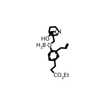 B.C=CCc1cc(CCC(=O)OCC)ccc1OCC1(O)CN2CCC1CC2